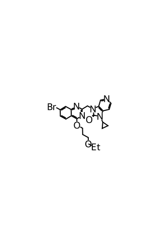 CCOCCCOc1nc(Cn2c(=O)n(C3CC3)c3ccncc32)nc2cc(Br)ccc12